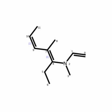 C=CN(C)/C(CC)=C(C)/C=C\C